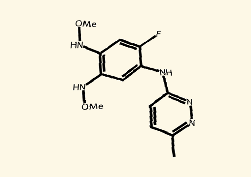 CONc1cc(F)c(Nc2ccc(C)nn2)cc1NOC